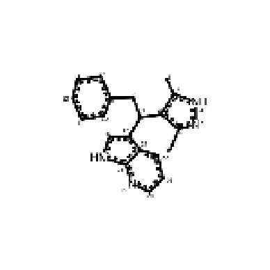 Cc1n[nH]c(C)c1C(Cc1ccccc1)c1c[nH]c2ncccc12